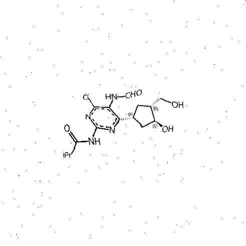 CC(C)C(=O)Nc1nc(Cl)c(NC=O)c([C@@H]2C[C@H](CO)[C@@H](O)C2)n1